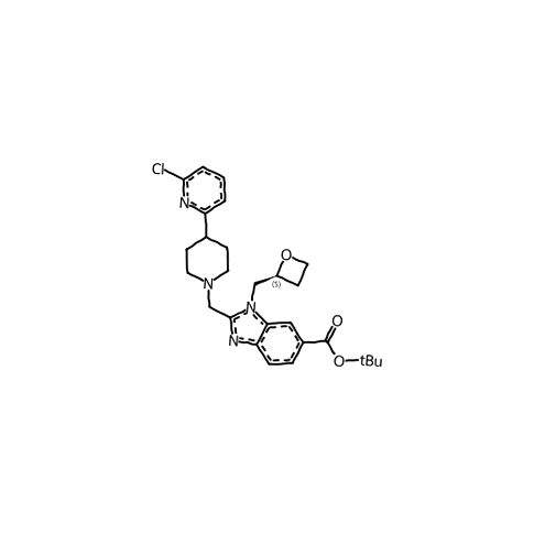 CC(C)(C)OC(=O)c1ccc2nc(CN3CCC(c4cccc(Cl)n4)CC3)n(C[C@@H]3CCO3)c2c1